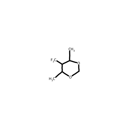 CC1OCOC(C)C1C(F)(F)F